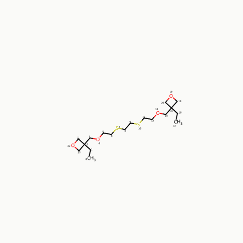 CCC1(COCCSCCSCCOCC2(CC)COC2)COC1